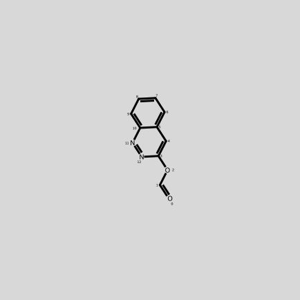 O=[C]Oc1cc2ccccc2nn1